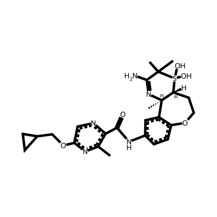 Cc1nc(OCC2CC2)cnc1C(=O)Nc1ccc2c(c1)[C@@]1(C)N=C(N)C(C)(C)S(O)(O)[C@@H]1CCO2